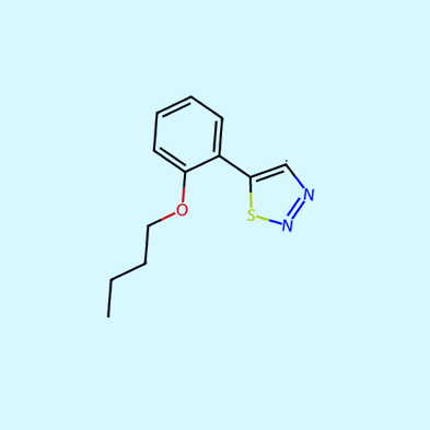 CCCCOc1ccccc1-c1[c]nns1